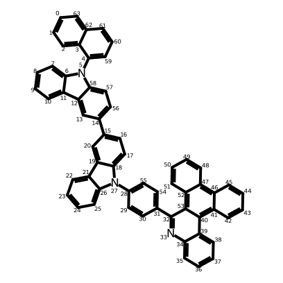 c1ccc2c(-n3c4ccccc4c4cc(-c5ccc6c(c5)c5ccccc5n6-c5ccc(-c6nc7ccccc7c7c8ccccc8c8ccccc8c67)cc5)ccc43)cccc2c1